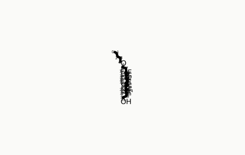 CCCCCOCCC(F)(F)C(F)(F)C(F)(F)C(F)(F)C(F)(F)C(F)(F)C(F)(F)CCO